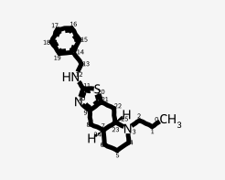 CCCN1CCC[C@H]2Cc3nc(NCc4ccccc4)sc3C[C@@H]21